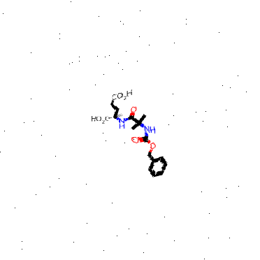 CC(C)(NC(=O)OCc1ccccc1)C(=O)N[C@@H](CCC(=O)O)C(=O)O